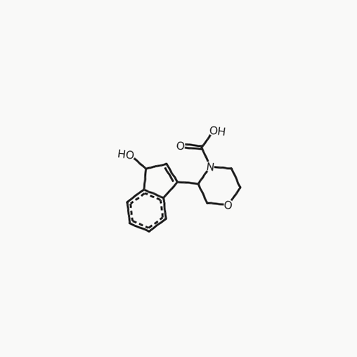 O=C(O)N1CCOCC1C1=CC(O)c2ccccc21